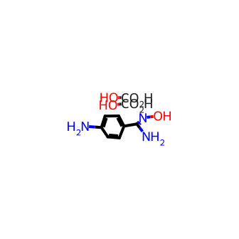 NC(=NO)c1ccc(N)cc1.O=C(O)O.O=C(O)O